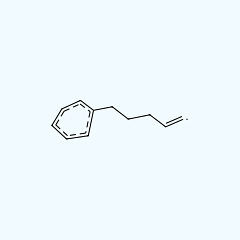 [CH]=CCCCc1ccccc1